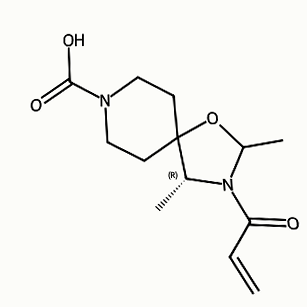 C=CC(=O)N1C(C)OC2(CCN(C(=O)O)CC2)[C@H]1C